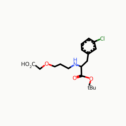 CC(C)(C)OC(=O)C(Cc1cccc(Cl)c1)NCCCOCC(=O)O